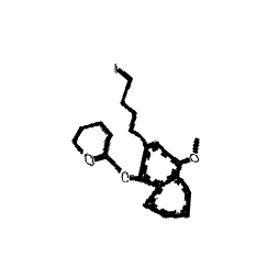 COc1cc(CCCCI)c(OC2CCCCO2)c2ccccc12